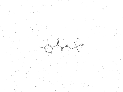 Cc1csc(C(=O)NOCC(C)(C)O)c1C